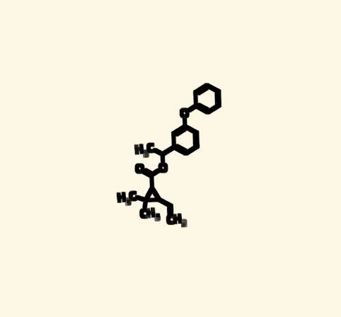 C=CC1C(C(=O)OC(C)c2cccc(Oc3ccccc3)c2)C1(C)C